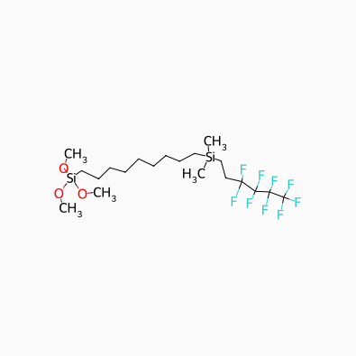 CO[Si](CCCCCCCCC[Si](C)(C)CCC(F)(F)C(F)(F)C(F)(F)C(F)(F)F)(OC)OC